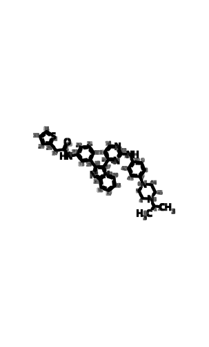 CC(C)N1CCN(c2ccc(Nc3nccc(-c4c(-c5cccc(NC(=O)Cc6cccs6)c5)nc5ccccn45)n3)cc2)CC1